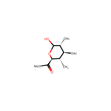 COC(=O)[C@H]1OC(O)[C@H](OC(C)=O)[C@@H](OC(C)=O)[C@@H]1C